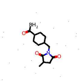 BC(=O)C1CCC(CN2C(=O)CC(C)C2=O)CC1